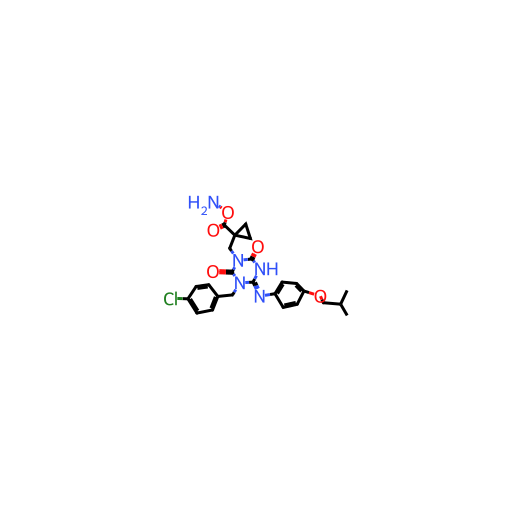 CC(C)COc1ccc(/N=c2\[nH]c(=O)n(CC3(C(=O)ON)CC3)c(=O)n2Cc2ccc(Cl)cc2)cc1